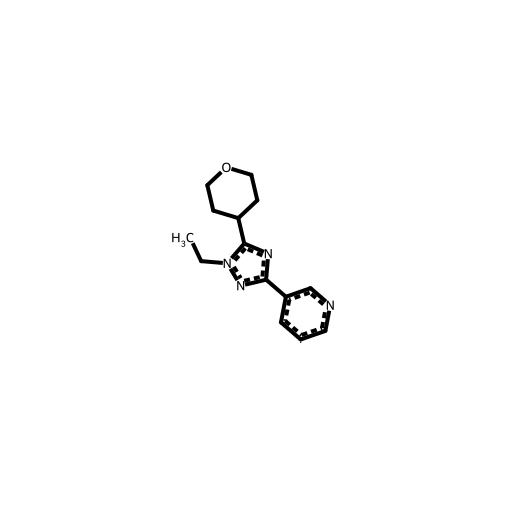 CCn1nc(-c2c[c]cnc2)nc1C1CCOCC1